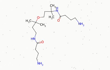 CC(C)(CCOC(C)(C)CCNC(=O)CCCN)NC(=O)CCCN